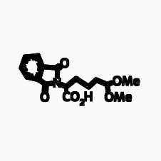 COC(CCC[C@@H](C(=O)O)N1C(=O)c2ccccc2C1=O)OC